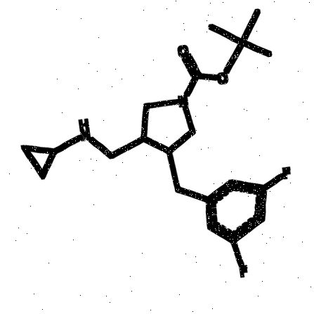 CC(C)(C)OC(=O)N1CC(CNC2CC2)C(Cc2cc(F)cc(F)c2)C1